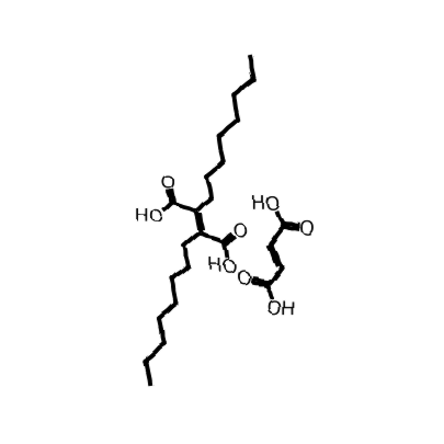 CCCCCCCCC(C(=O)O)=C(CCCCCCCC)C(=O)O.O=C(O)C=CC(=O)O